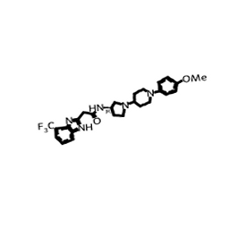 COc1ccc(N2CCC(N3CC[C@@H](NC(=O)Cc4nc5c(C(F)(F)F)cccc5[nH]4)C3)CC2)cc1